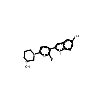 Oc1ccc2[nH]c(-c3ccc(N4CCC[C@@H](O)C4)nc3F)cc2c1